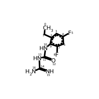 CCc1cc(F)cc(F)c1NC(=O)NC(=N)N